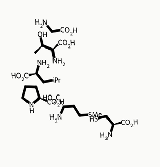 CC(C)C[C@H](N)C(=O)O.CSCC[C@H](N)C(=O)O.C[C@@H](O)[C@H](N)C(=O)O.NCC(=O)O.N[C@@H](CS)C(=O)O.O=C(O)[C@@H]1CCCN1